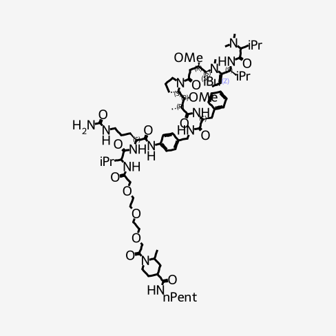 C/C=C(/[C@@H](NC(=O)C(C(C)C)N(C)C)C(C)C)N(C)[C@@H]([C@@H](C)CC)[C@@H](CC(=O)N1CCC[C@H]1[C@H](OC)[C@@H](C)C(=O)N[C@@H](Cc1ccccc1)C(=O)NCc1ccc(NC(=O)[C@H](CCCNC(N)=O)NC(=O)C(NC(=O)COCCOCCOCC(=O)N2CCC(C(=O)NCCCCC)CC2C)C(C)C)cc1)OC